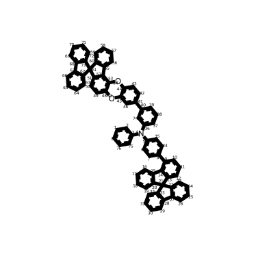 c1ccc(N(c2ccc(-c3cccc4c3-c3ccccc3C43c4ccccc4-c4ccccc43)cc2)c2cccc(-c3ccc4c(c3)Oc3ccc5c(c3O4)-c3ccccc3C53c4ccccc4-c4ccccc43)c2)cc1